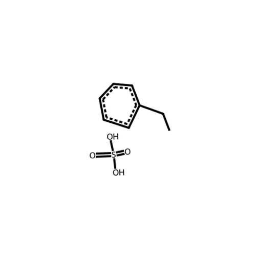 CCc1ccccc1.O=S(=O)(O)O